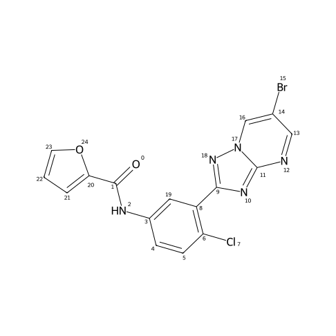 O=C(Nc1ccc(Cl)c(-c2nc3ncc(Br)cn3n2)c1)c1ccco1